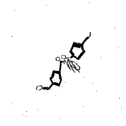 O=[C]c1ccc(C(=O)NS(=O)(=O)c2ccc(I)cc2)cc1